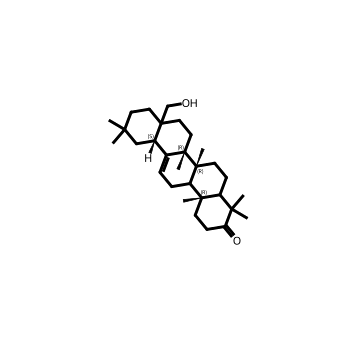 CC1(C)CCC2(CO)CC[C@@]3(C)C(=CCC4[C@@]5(C)CCC(=O)C(C)(C)C5CC[C@]43C)[C@@H]2C1